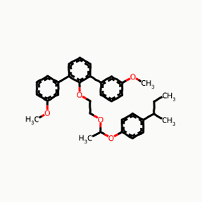 CCC(C)c1ccc(OC(C)OCCOc2c(-c3cccc(OC)c3)cccc2-c2cccc(OC)c2)cc1